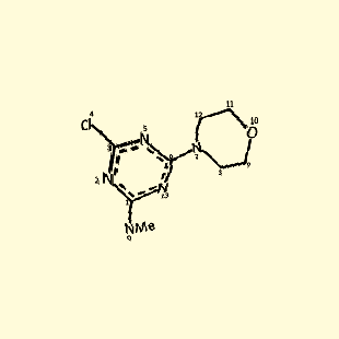 CNc1nc(Cl)nc(N2CCOCC2)n1